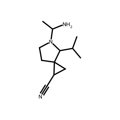 CC(C)C1N(C(C)N)CCC12CC2C#N